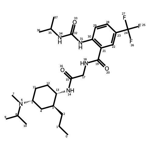 CCC[C@H]1C[C@H](N(C)C(C)C)CC[C@@H]1NC(=O)CNC(=O)c1cc(C(F)(F)F)ccc1NC(=O)NC(C)C